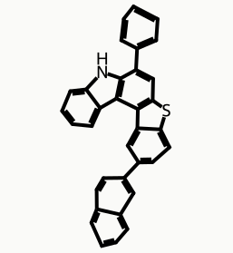 c1ccc(-c2cc3sc4ccc(-c5ccc6ccccc6c5)cc4c3c3c2[nH]c2ccccc23)cc1